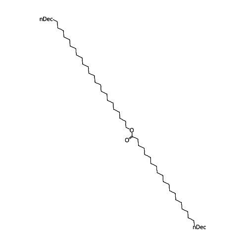 CCCCCCCCCCCCCCCCCCCCCCCCCCCCCCCCCCOC(=O)CCCCCCCCCCCCCCCCCCCCCCCCCCCCC